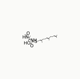 C=C(NC(CSC/C=C(\C)CC/C=C(\C)CCC=C(C)C)C(=O)O)C(C)NC(C)=O